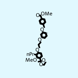 CCCc1c(OCCCOc2cc[c]c(OCc3ccc(C(=O)OC)cc3)c2)ccc(C2(C)OCCO2)c1OC